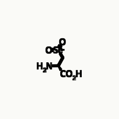 N[C@@H](C[Se](=O)=O)C(=O)O